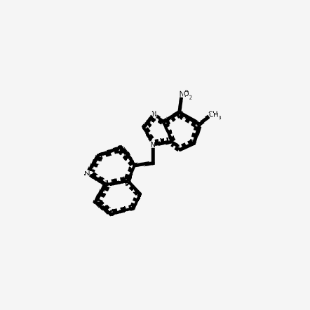 Cc1ccc2c(ncn2Cc2ccnc3ccccc23)c1[N+](=O)[O-]